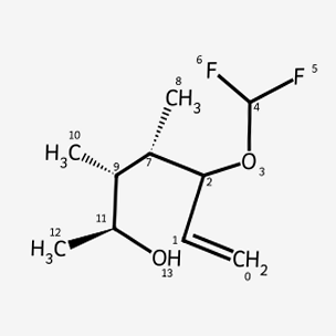 C=CC(OC(F)F)[C@@H](C)[C@@H](C)[C@H](C)O